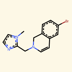 Cn1ccnc1CN1C=Cc2cc(Br)ccc2C1